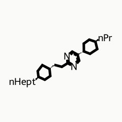 CCCCCCC[C@H]1CC[C@H](CCc2ncc([C@H]3CC[C@H](CCC)CC3)cn2)CC1